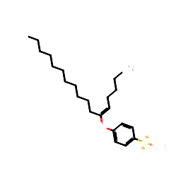 CCCCC=C(CCCCCCCCCCC)Oc1ccc(S(=O)(=O)O)cc1.[NaH]